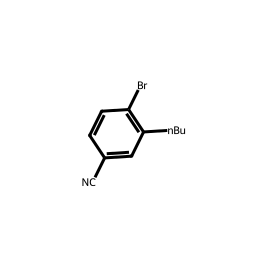 CCCCc1cc(C#N)ccc1Br